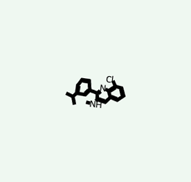 CNc1cc2cccc(Cl)c2nc1-c1cccc(C(C)C)c1